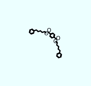 O=C(OCCCCCc1ccccc1)c1ccc(C(=O)OCCCCCc2ccccc2)cc1